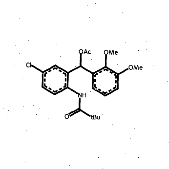 COc1cccc(C(OC(C)=O)c2cc(Cl)ccc2NC(=O)C(C)(C)C)c1OC